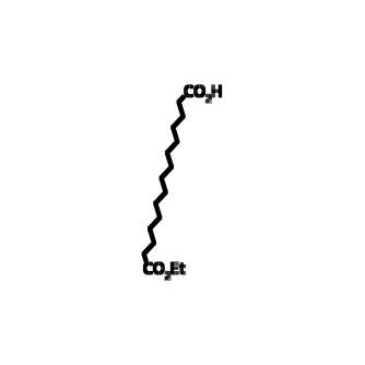 CCOC(=O)CCCCCCCCCCCCCC(=O)O